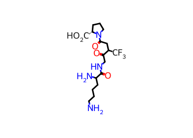 NCCCCC(N)C(=O)NCC(=O)C(CC(=O)N1CCC[C@H]1C(=O)O)C(F)(F)F